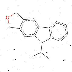 CC(C)C1c2ccccc2-c2cc3c(cc21)COC3